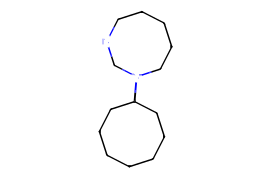 C1CCCC(N2CCCCCNC2)CCC1